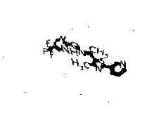 C/C(=N\OC1N=CC(C(F)(F)F)=CN1)c1sc(-c2cccnc2)nc1C